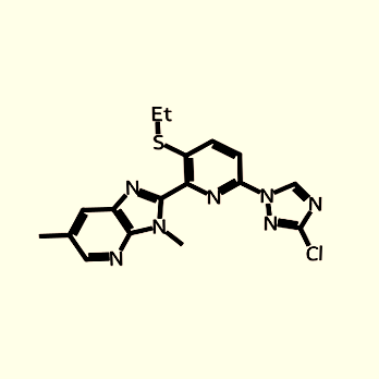 CCSc1ccc(-n2cnc(Cl)n2)nc1-c1nc2cc(C)cnc2n1C